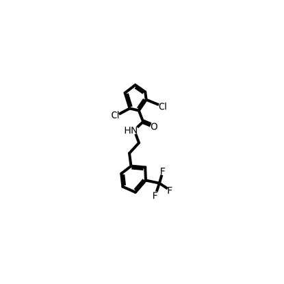 O=C(NCCc1cccc(C(F)(F)F)c1)c1c(Cl)cccc1Cl